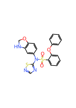 O=S(=O)(c1ccccc1Oc1ccccc1)N(c1ccc2c(c1)NCO2)c1ncns1